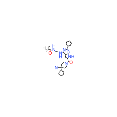 CC(=O)NCCNc1nc(-c2ccccc2)nc2[nH]c(C(=O)N3CCC(C#N)(c4ccccc4)CC3)cc12